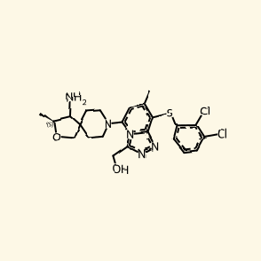 Cc1cc(N2CCC3(CC2)CO[C@@H](C)C3N)n2c(CO)nnc2c1Sc1cccc(Cl)c1Cl